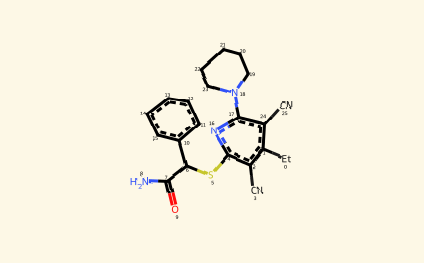 CCc1c(C#N)c(SC(C(N)=O)c2ccccc2)nc(N2CCCCC2)c1C#N